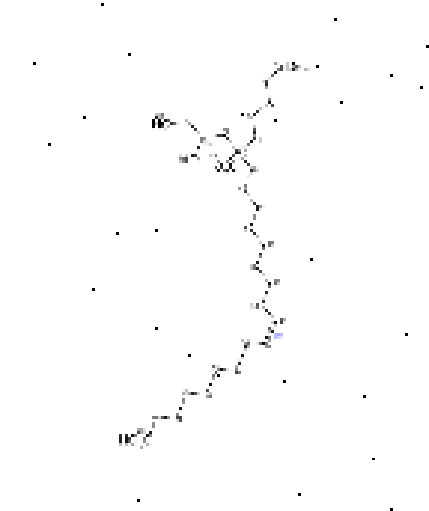 CCCCCCCCCCCCCCC(CCCCCCCC/C=C\CCCCCCCC(=O)O)(CC(O)CO)C(=O)O